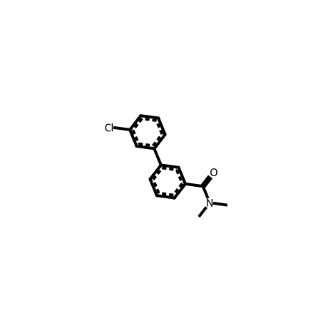 CN(C)C(=O)c1cccc(-c2cccc(Cl)c2)c1